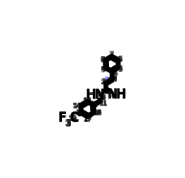 N=C(/C=C/c1ccccc1)NCc1ccc(C(F)(F)F)cc1